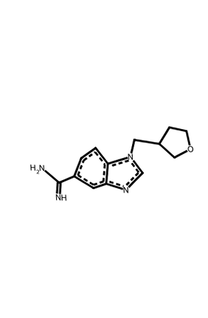 N=C(N)c1ccc2c(c1)ncn2CC1CCOC1